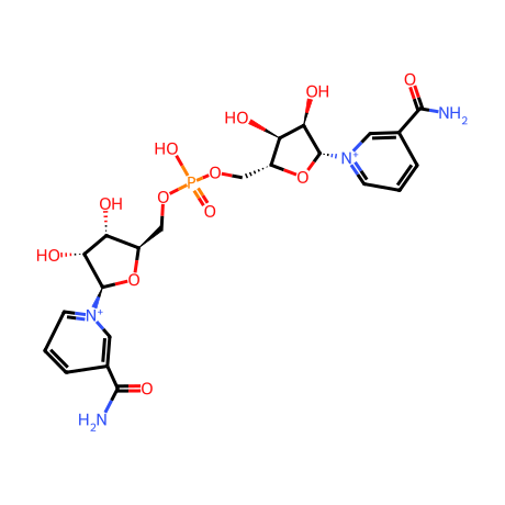 NC(=O)c1ccc[n+]([C@@H]2O[C@H](COP(=O)(O)OC[C@H]3O[C@@H]([n+]4cccc(C(N)=O)c4)[C@H](O)[C@@H]3O)[C@@H](O)[C@H]2O)c1